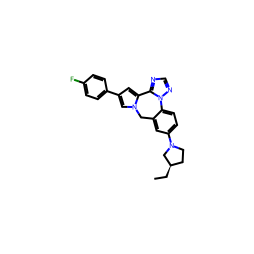 CC[C@@H]1CCN(c2ccc3c(c2)Cn2cc(-c4ccc(F)cc4)cc2-c2ncnn2-3)C1